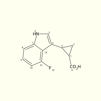 O=C(O)C1CC1c1c[nH]c2cccc(F)c12